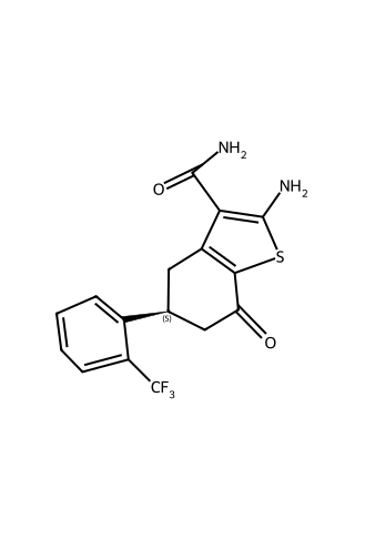 NC(=O)c1c(N)sc2c1C[C@H](c1ccccc1C(F)(F)F)CC2=O